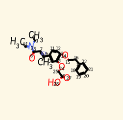 CCN(CC)C(=O)/C=C(\C)c1ccc(OCCc2ccccc2)c(OCC(=O)O)c1